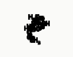 COC(=O)Cc1cccc(NC(=O)NCC(=O)N2C(C(=O)N(C)c3ccccc3)CC(C(=O)O)C2c2ccccc2F)c1